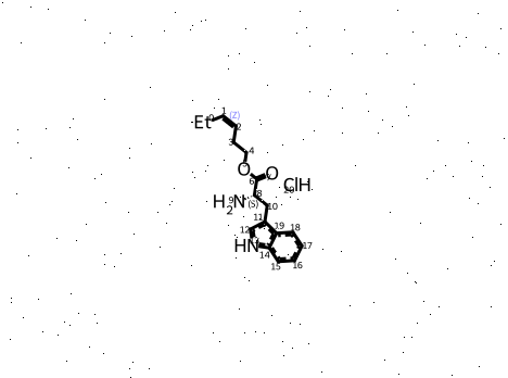 CC/C=C\CCOC(=O)[C@@H](N)Cc1c[nH]c2ccccc12.Cl